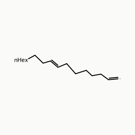 [CH]=CCCCCCC=CCCCCCCCC